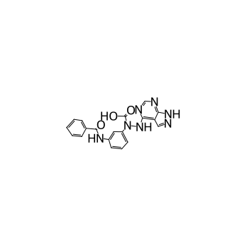 O=C(Nc1cccc(N(Nc2ncnc3[nH]ncc23)C(=O)O)c1)c1ccccc1